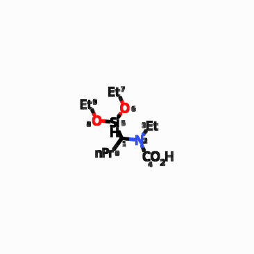 CCCC(N(CC)C(=O)O)[SiH](OCC)OCC